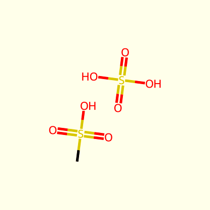 CS(=O)(=O)O.O=S(=O)(O)O